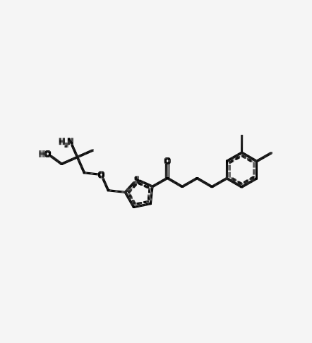 Cc1ccc(CCCC(=O)c2ccc(COCC(C)(N)CO)s2)cc1C